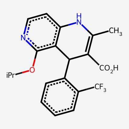 CC1=C(C(=O)O)C(c2ccccc2C(F)(F)F)c2c(ccnc2OC(C)C)N1